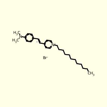 CCCCCCCCCCCC[n+]1ccc(/C=C/c2ccc(N(C)C)cc2)cc1.[Br-]